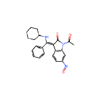 CC(=O)N1C(=O)/C(=C(\NC2CCCCC2)c2ccccc2)c2ccc(N=O)cc21